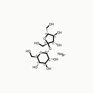 OC[C@H]1O[C@@](CO)(O[C@H]2O[C@H](CO)[C@@H](O)[C@H](O)[C@H]2O)[C@@H](O)[C@@H]1O.[Br-].[Na+]